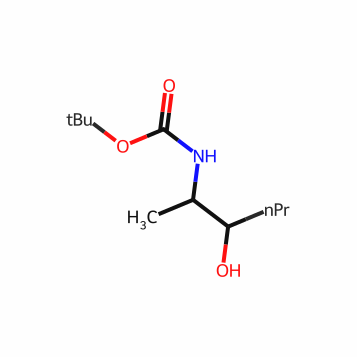 CCCC(O)C(C)NC(=O)OC(C)(C)C